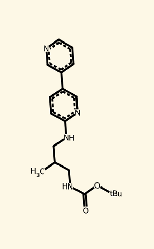 CC(CNC(=O)OC(C)(C)C)CNc1ccc(-c2cccnc2)cn1